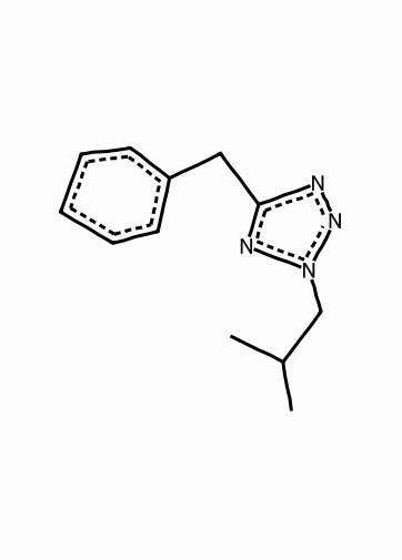 CC(C)Cn1nnc(Cc2ccccc2)n1